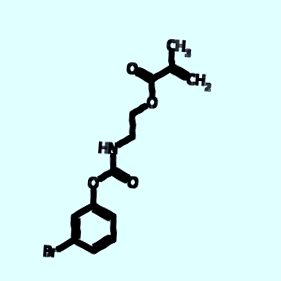 C=C(C)C(=O)OCCNC(=O)Oc1cccc(Br)c1